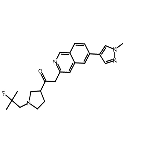 Cn1cc(-c2ccc3cnc(CC(=O)C4CCN(CC(C)(C)F)C4)cc3c2)cn1